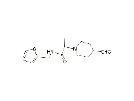 CC(C(=O)NCc1ccco1)N1CCC(C=O)CC1